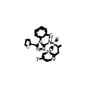 CC(Cc1ncc(F)cn1)S(=O)(=O)Nc1nnc(-c2ccco2)n1-c1ccccc1F